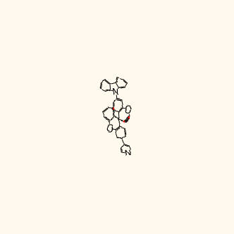 c1ccc2c(c1)Oc1cc(-c3ccncc3)ccc1C21c2ccccc2Oc2cc(-n3c4ccccc4c4ccccc43)ccc21